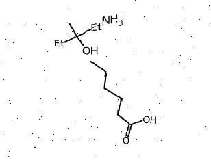 CCC(C)(O)CC.CCCCCC(=O)O.N